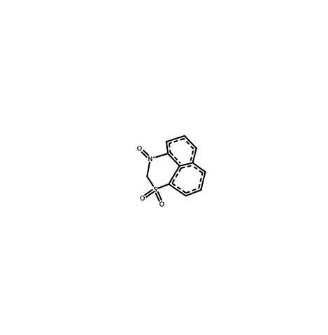 O=[N+]1CS(=O)(=O)c2cccc3cccc1c23